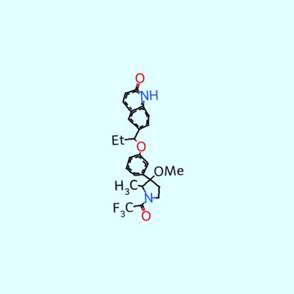 CCC(Oc1cccc(C2(OC)CCN(C(=O)C(F)(F)F)C2C)c1)c1ccc2[nH]c(=O)ccc2c1